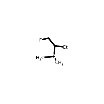 CCC(CF)P(C)C